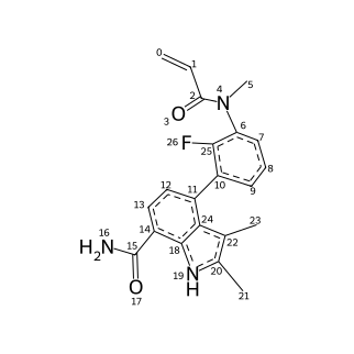 C=CC(=O)N(C)c1cccc(-c2ccc(C(N)=O)c3[nH]c(C)c(C)c23)c1F